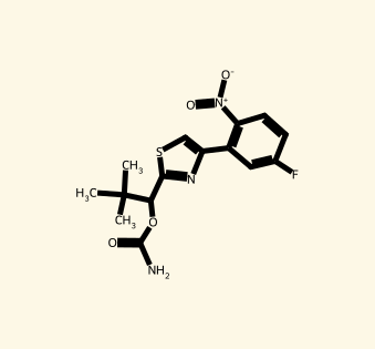 CC(C)(C)C(OC(N)=O)c1nc(-c2cc(F)ccc2[N+](=O)[O-])cs1